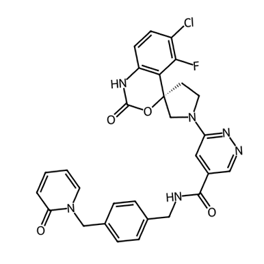 O=C1Nc2ccc(Cl)c(F)c2[C@]2(CCN(c3cc(C(=O)NCc4ccc(Cn5ccccc5=O)cc4)cnn3)C2)O1